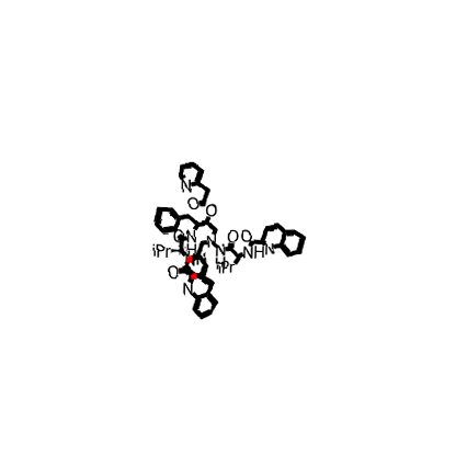 CC(C)C(NC(=O)c1ccc2ccccc2n1)C(=O)NN(Cc1ccccc1)CC(OC(=O)Cc1ccccn1)C(Cc1ccccc1)NC(=O)[C@@H](NC(=O)c1ccc2ccccc2n1)C(C)C